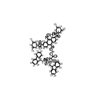 CCC(C)C(NP(=O)(OCC1c2ccccc2-c2ccccc21)OCC1c2ccccc2-c2ccccc21)C(=O)OCON=C1c2ccc(S(=O)(=O)N3C[C@H](C)C[C@H](C)C3)cc2C(=NO)c2cc(S(=O)(=O)N3C[C@H](C)C[C@H](C)C3)ccc21